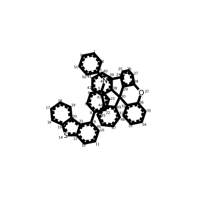 c1ccc(N(c2ccc(-c3cccc4sc5ccccc5c34)cc2)c2cccc3c2C2(c4ccccc4O3)c3ccccc3-c3ccccc32)cc1